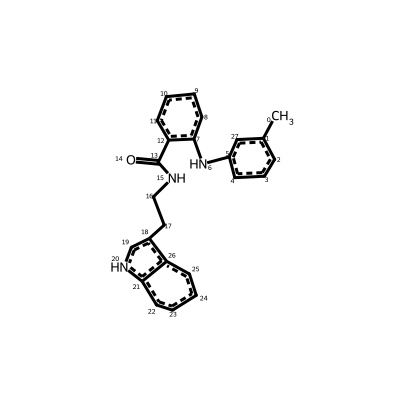 Cc1cccc(Nc2ccccc2C(=O)NCCc2c[nH]c3ccccc23)c1